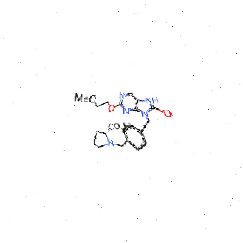 COCCOc1ncc2[nH]c(=O)n(Cc3ccc(CN4CCC[C@@H]4C(=O)O)cc3)c2n1